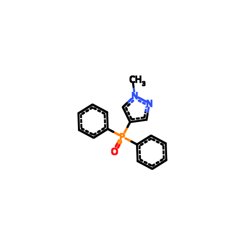 Cn1cc(P(=O)(c2ccccc2)c2ccccc2)cn1